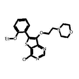 CCOc1ccccc1-c1sc2c(Cl)ncnc2c1OCCN1CCOCC1